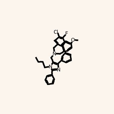 CCCCn1c(-c2ccccc2)nc(-c2ccccc2)c1CN(Cc1ccc(OC)cc1)Cc1ccc(F)c(Cl)c1